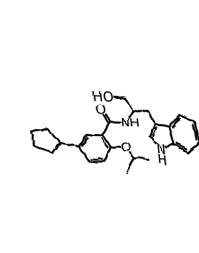 CC(C)Oc1ccc(C2CCCC2)cc1C(=O)N[C@@H](CO)Cc1c[nH]c2ccccc12